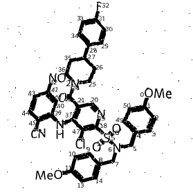 COc1ccc(CN(Cc2ccc(OC)cc2)S(=O)(=O)c2ncc(C(=O)N3CCC(c4ccc(F)cc4)CC3)c(Nc3cc([N+](=O)[O-])ccc3C#N)c2Cl)cc1